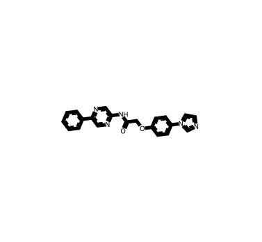 O=C(COc1ccc(-n2ccnc2)cc1)Nc1cnc(-c2ccccc2)cn1